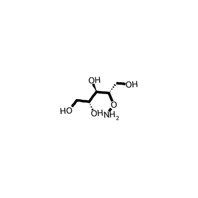 NO[C@@H](CO)[C@H](O)[C@H](O)CO